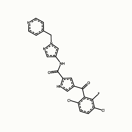 O=C(Nc1cnn(Cc2ccncc2)c1)c1cc(C(=O)c2c(Cl)ccc(Cl)c2F)c[nH]1